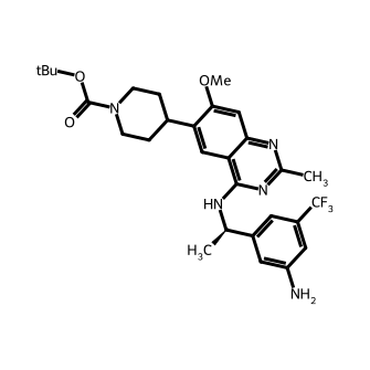 COc1cc2nc(C)nc(N[C@H](C)c3cc(N)cc(C(F)(F)F)c3)c2cc1C1CCN(C(=O)OC(C)(C)C)CC1